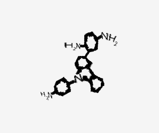 Nc1ccc(-n2c3ccccc3c3cc(-c4cc(N)ccc4N)ccc32)cc1